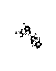 CCC(Oc1cc(F)ccc1COc1cc(C)n(-c2c(F)cccc2F)c(=O)c1Br)C(=O)O